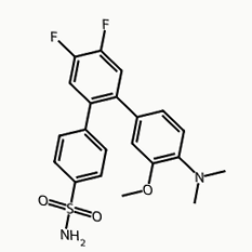 COc1cc(-c2cc(F)c(F)cc2-c2ccc(S(N)(=O)=O)cc2)ccc1N(C)C